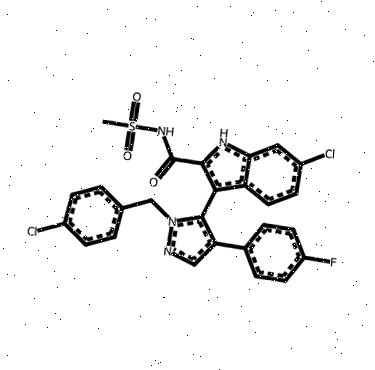 CS(=O)(=O)NC(=O)c1[nH]c2cc(Cl)ccc2c1-c1c(-c2ccc(F)cc2)cnn1Cc1ccc(Cl)cc1